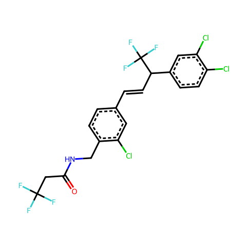 O=C(CC(F)(F)F)NCc1ccc(/C=C/C(c2ccc(Cl)c(Cl)c2)C(F)(F)F)cc1Cl